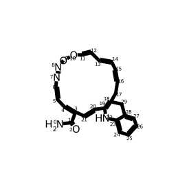 NC(=O)C1=C/C=C\N=N\OO/C=C/C=C/C=C\CC2=C(\C=C\1)Nc1ccccc1C2